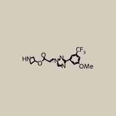 COc1cc(-c2ncn(/C=C/C(=O)OC3CNC3)n2)cc(C(F)(F)F)c1